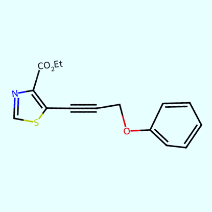 CCOC(=O)c1ncsc1C#CCOc1ccccc1